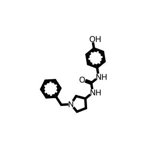 O=C(Nc1ccc(O)cc1)NC1CCN(Cc2ccccc2)C1